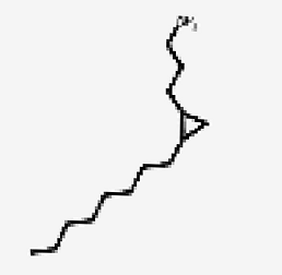 CCCCCCCCC1CC1CCCN